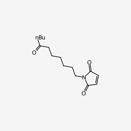 CCCCC(=O)CCCCCCN1C(=O)C=CC1=O